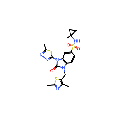 Cc1nnc(-n2c(=O)n(Cc3sc(C)nc3C)c3ccc(S(=O)(=O)NC4(C)CC4)cc32)s1